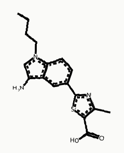 CCCCn1cc(N)c2cc(-c3nc(C)c(C(=O)O)s3)ccc21